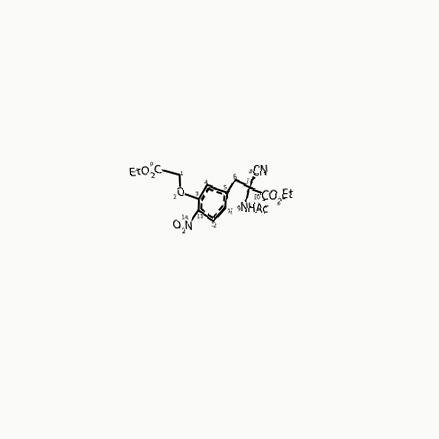 CCOC(=O)COc1cc(C[C@@](C#N)(NC(C)=O)C(=O)OCC)ccc1[N+](=O)[O-]